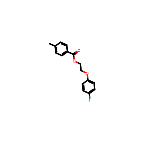 Cc1ccc(C(=O)OCCOc2ccc(F)cc2)cc1